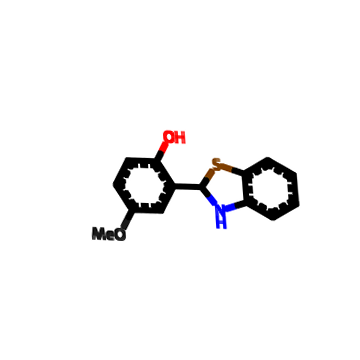 COc1ccc(O)c(C2Nc3ccccc3S2)c1